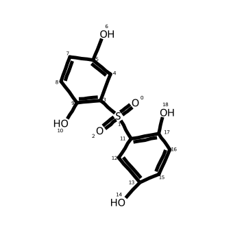 O=S(=O)(c1cc(O)ccc1O)c1cc(O)ccc1O